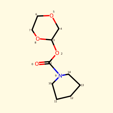 O=C(OC1COCCO1)N1CCCCC1